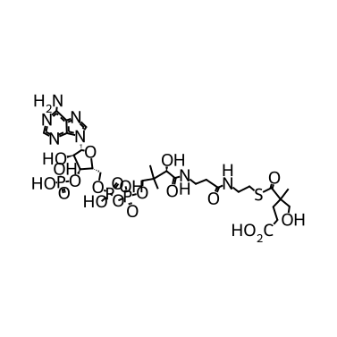 CC(CO)(CCC(=O)O)C(=O)SCCNC(=O)CCNC(=O)[C@H](O)C(C)(C)COP(=O)(O)OP(=O)(O)OC[C@H]1O[C@@H](n2cnc3c(N)ncnc32)[C@H](O)[C@@H]1OP(=O)(O)O